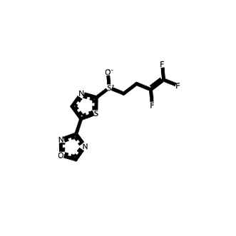 [O-][S+](CCC(F)=C(F)F)c1ncc(-c2ncon2)s1